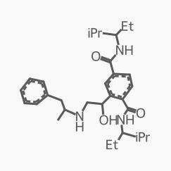 CCC(NC(=O)c1ccc(C(=O)NC(CC)C(C)C)c(C(O)CNC(C)Cc2ccccc2)c1)C(C)C